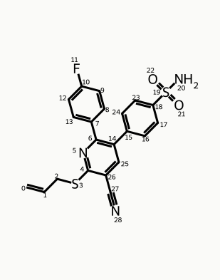 C=CCSc1nc(-c2ccc(F)cc2)c(-c2ccc(S(N)(=O)=O)cc2)cc1C#N